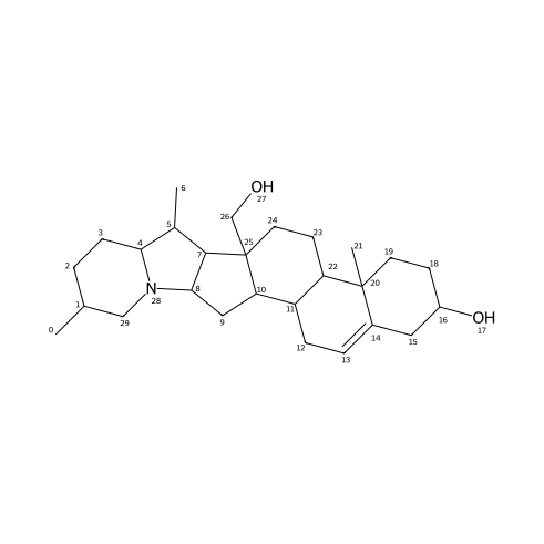 CC1CCC2C(C)C3C(CC4C5CC=C6CC(O)CCC6(C)C5CCC43CO)N2C1